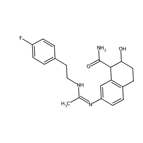 CC(=Nc1ccc2c(c1)C(C(N)=O)C(O)CC2)NCCc1ccc(F)cc1